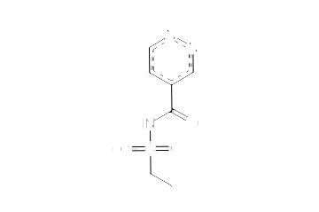 CCS(=O)(=O)NC(=O)c1ccnnc1